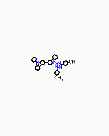 Cc1ccc(-c2nc(-c3ccc(C)cc3)nc(-n3c4ccccc4c4cc(-c5ccc6c(c5)c5ccccc5n6-c5ccccc5)ccc43)n2)cc1